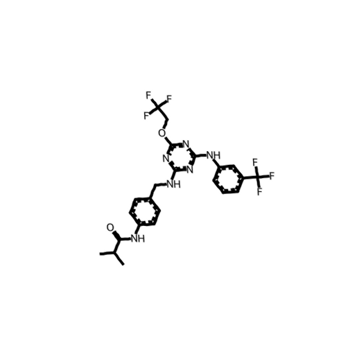 CC(C)C(=O)Nc1ccc(CNc2nc(Nc3cccc(C(F)(F)F)c3)nc(OCC(F)(F)F)n2)cc1